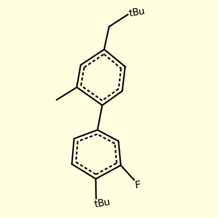 Cc1cc(CC(C)(C)C)ccc1-c1ccc(C(C)(C)C)c(F)c1